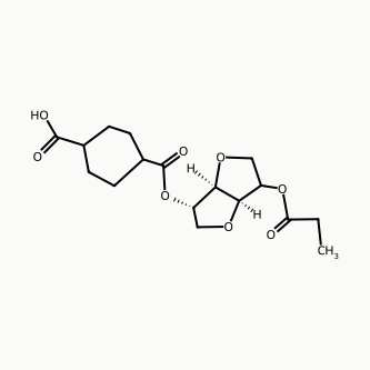 CCC(=O)OC1CO[C@@H]2[C@@H](OC(=O)C3CCC(C(=O)O)CC3)CO[C@H]12